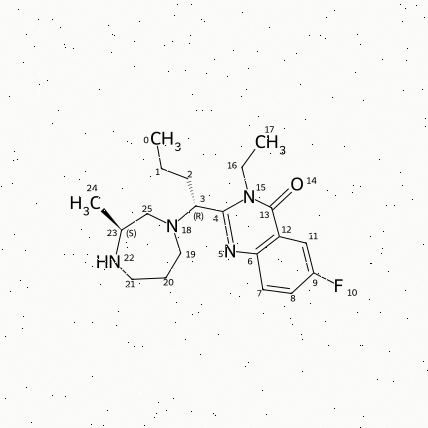 CCC[C@H](c1nc2ccc(F)cc2c(=O)n1CC)N1CCCN[C@@H](C)C1